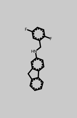 Fc1ccc(F)c(CNc2ccc3c(c2)Cc2ccccc2-3)c1